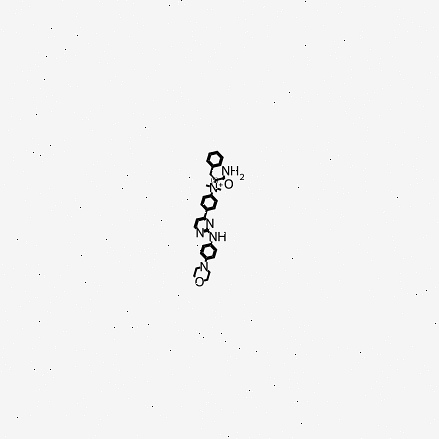 C[N+](C)(c1ccc(-c2ccnc(Nc3ccc(N4CCOCC4)cc3)n2)cc1)[C@@H](Cc1ccccc1)C(N)=O